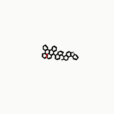 CC1CCc2c(ccc3c2C2C=CC=CC2S3)C1c1cccc2c(-c3c4ccccc4c(C4=C(c5ccccc5)CCC=C4)c4ccccc34)cccc12